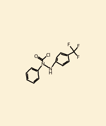 O=C(Cl)N(Nc1ccc(C(F)(F)F)cc1)c1ccccc1